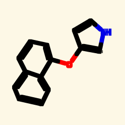 [c]1[nH]ccc1Oc1cccc2ccccc12